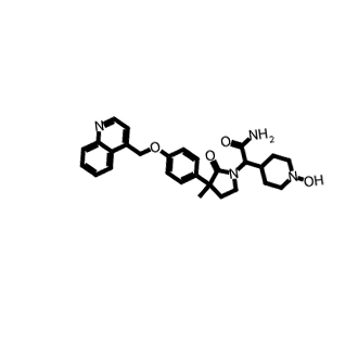 CC1(c2ccc(OCc3ccnc4ccccc34)cc2)CCN(C(C(N)=O)C2CCN(O)CC2)C1=O